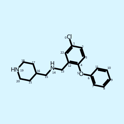 Clc1ccc(Oc2ccccc2)c(CNCC2CCNCC2)c1